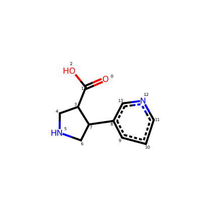 O=C(O)C1CNCC1c1cccnc1